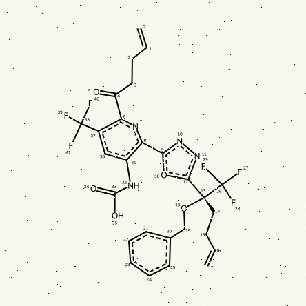 C=CCCC(=O)c1nc(-c2nnc([C@@](CCC=C)(OCc3ccccc3)C(F)(F)F)o2)c(NC(=O)O)cc1C(F)(F)F